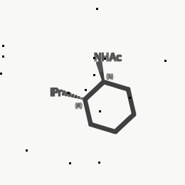 CC(=O)N[C@H]1CCCC[C@@H]1C(C)C